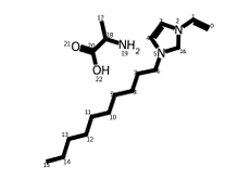 C=CN1C=CN(CCCCCCCCCC)C1.CC(N)C(=O)O